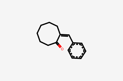 O=C1CCCCCC/C1=C/c1ccccc1